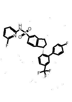 O=S(=O)(Nc1cccc(F)n1)c1ccc2c(c1)CC[C@@H]2c1ccc(C(F)(F)F)cc1-c1ccc(F)cc1